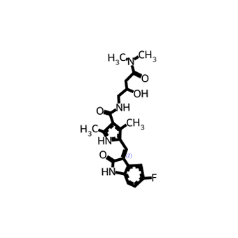 Cc1[nH]c(/C=C2\C(=O)Nc3ccc(F)cc32)c(C)c1C(=O)NCC(O)CC(=O)N(C)C